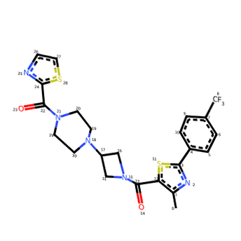 Cc1nc(-c2ccc(C(F)(F)F)cc2)sc1C(=O)N1CC(N2CCN(C(=O)c3nccs3)CC2)C1